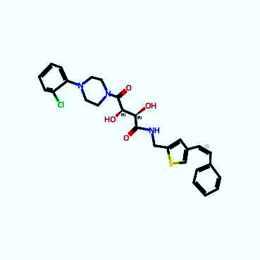 O=C(NCc1cc(/C=C\c2ccccc2)cs1)[C@H](O)[C@@H](O)C(=O)N1CCN(c2ccccc2Cl)CC1